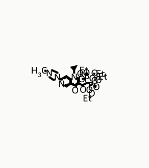 CCOOP(=O)(OOCC)C(C(=O)c1cn(C2CC2)c2cc(N3CCN(C)CC3)ncc2c1=O)P(=O)(OOCC)OOCC